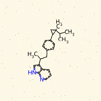 CC(Cc1ccc(C2CC2(C)C(C)C)cc1)c1c[nH]c2ncccc12